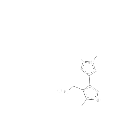 Cc1[nH]cc(-c2cnn(C)c2)c1CC=O